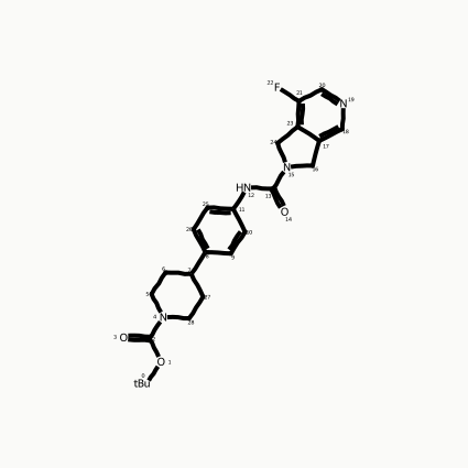 CC(C)(C)OC(=O)N1CCC(c2ccc(NC(=O)N3Cc4cncc(F)c4C3)cc2)CC1